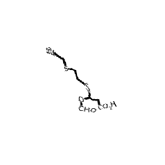 CC(C)(C)CSCCSC(CC(=O)O)OC=O